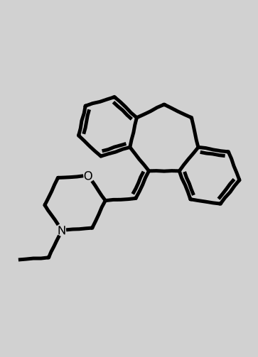 CCN1CCOC(C=C2c3ccccc3CCc3ccccc32)C1